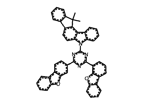 CC1(C)c2ccccc2-c2ccc3c(c21)c1ccccc1n3-c1nc(-c2ccc3c(c2)oc2ccccc23)nc(-c2cccc3c2oc2ccccc23)n1